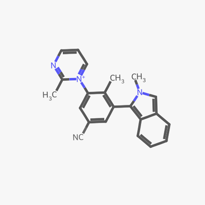 Cc1c(-c2c3ccccc3cn2C)cc(C#N)cc1-[n+]1cccnc1C